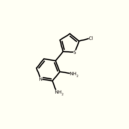 Nc1nccc(-c2ccc(Cl)s2)c1N